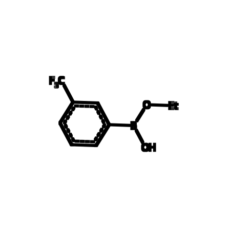 CCOB(O)c1cccc(C(F)(F)F)c1